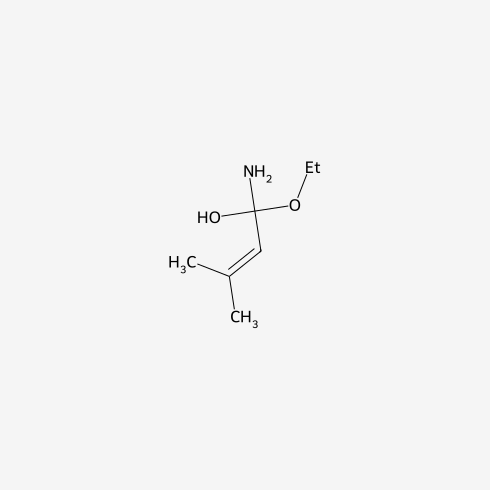 CCOC(N)(O)C=C(C)C